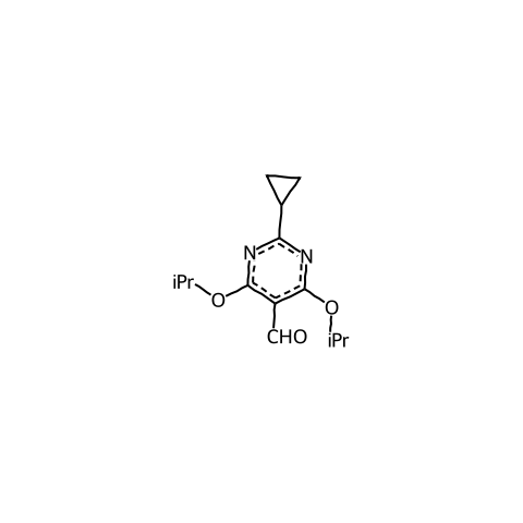 CC(C)Oc1nc(C2CC2)nc(OC(C)C)c1C=O